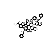 NC(=O)c1cccc2c1COC2(C1=C2CN=C[N+]2(NCc2ccccc2)C(C(=O)Nc2nc3c(c(NCc4ccccc4)n2)OCC3)C(C2N=CC3=C(C=NC3)N2)=C1)c1nc2c(c(NCc3ccccc3)n1)CNC2